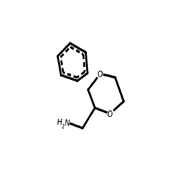 NCC1COCCO1.c1ccccc1